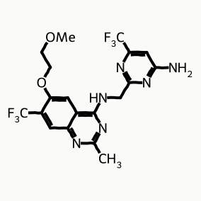 COCCOc1cc2c(NCc3nc(N)cc(C(F)(F)F)n3)nc(C)nc2cc1C(F)(F)F